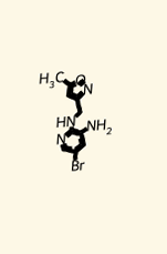 Cc1cc(CNc2ncc(Br)cc2N)no1